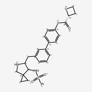 CC(C)S(=O)(=O)NC1C(Cc2cccc(-c3ccc(OC(=O)[C@H]4CCO4)cc3)c2)NCC12CC2